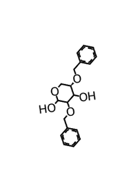 OC1OC[C@@H](OCc2ccccc2)C(O)C1OCc1ccccc1